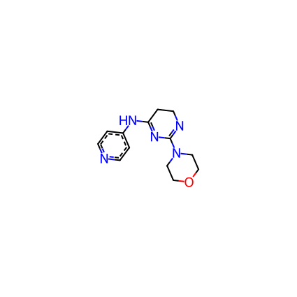 c1cc(NC2=NC(N3CCOCC3)=NCC2)ccn1